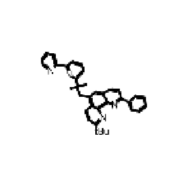 CC(C)(C)c1ccc2c(CC(C)(C)c3cccc(-c4ccccn4)n3)cc3ccc(-c4ccccc4)nc3c2n1